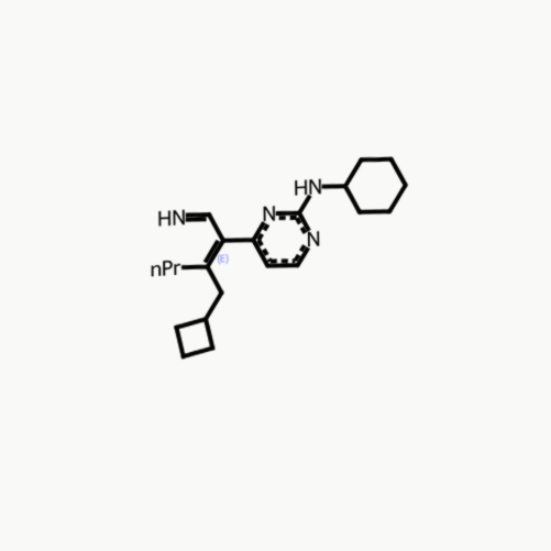 CCC/C(CC1CCC1)=C(\C=N)c1ccnc(NC2CCCCC2)n1